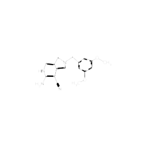 COc1cc(CN2C=C3C(=CNC(N)=C3C#N)C2)cc(OC)c1